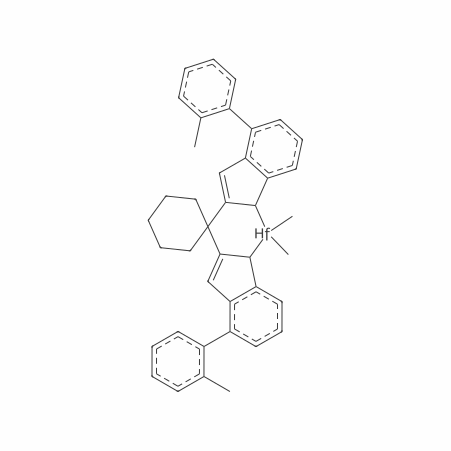 Cc1ccccc1-c1cccc2c1C=C1[CH]2[Hf]([CH3])([CH3])[CH]2C(=Cc3c(-c4ccccc4C)cccc32)C12CCCCC2